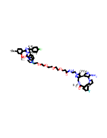 CCOc1cc(C(C)(C)C)ccc1C1=N[C@@](C)(c2ccc(Cl)cc2)[C@@](C)(c2ccc(Cl)cc2)N1C(O)N1CCN(CCOCCOCCOCCOCCC(=O)NCCn2nc3c(c2OC)-c2cnc(N)c(c2)N2CCC[C@@H]2c2cc(F)ccc2C(=O)N(C)C3)CC1